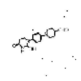 O=CC1CCN(c2ccc(N3CCC(=O)NC3O)cc2)CC1